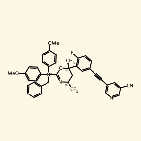 COc1ccc([N+](Cc2ccccc2)(C2=N[C@H](C(F)(F)F)C[C@@](C)(c3cc(C#Cc4cncc(C#N)c4)ccc3F)O2)c2ccc(OC)cc2)cc1